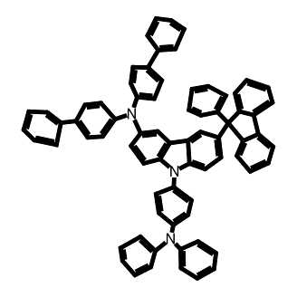 c1ccc(-c2ccc(N(c3ccc(-c4ccccc4)cc3)c3ccc4c(c3)c3cc(C5(c6ccccc6)c6ccccc6-c6ccccc65)ccc3n4-c3ccc(N(c4ccccc4)c4ccccc4)cc3)cc2)cc1